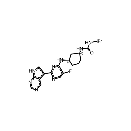 CC(C)NC(=O)N[C@H]1CCC[C@@H](Nc2nc(-c3c[nH]c4ncncc34)ncc2F)C1